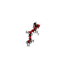 Cc1cc(C2CCNC(C(=O)CN3CCC(c4ccc(NC5CCC(=O)NC5=O)cc4)CC3)C2)ccc1-c1cc(F)c2c(c1)C(=O)N(C(C(=O)Nc1nccs1)c1ncn3c1CCC3)C2